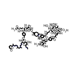 C/C=C/C1OC(C(/C=C/C=C(\C)C[C@@H](C)/C=C\C=C(/C)C2CC=CC(=O)O2)NC(=O)OCc2ccc(NC(=O)[C@H](CCCNC(N)=O)NC(=O)[C@@H](NC(=O)OC[C@@H]3C4CC/C(N)=C(/N(N)c5ccc(C(=O)NCCCC[C@H](NC(=O)[C@H](CC(=O)O)NC(=O)C(CC(=O)O)NC(=O)[C@H](CC(=O)O)NC(=O)CC[C@@H](C)NC(=O)c6ccc(NCc7cnc8nc(N)nc(O)c8n7)cc6)C(=O)OC)cc5)CC[C@@H]43)C(C)C)cc2)C[C@@H](O)[C@@H]1C